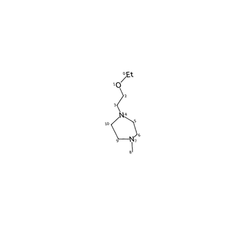 CCOCCN1CCN(C)CC1